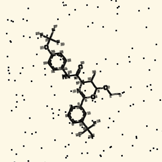 CCOC1OC(c2cccc(C(F)(F)F)c2)=NN(C(=O)Nc2ccc(OC(F)(F)F)cc2)C1C